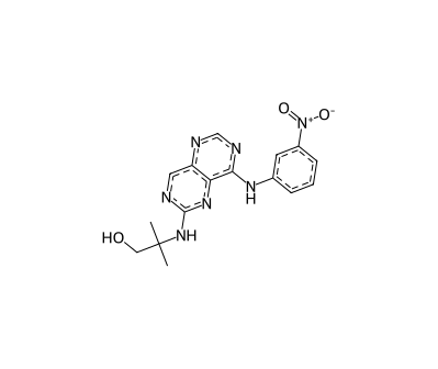 CC(C)(CO)Nc1ncc2ncnc(Nc3cccc([N+](=O)[O-])c3)c2n1